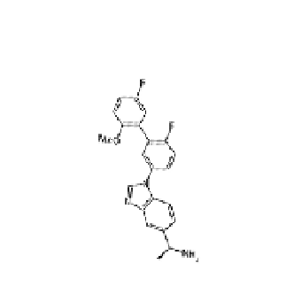 COc1ccc(F)cc1-c1cc(-n2cnc3cc([C@H](C)N)ccc32)ccc1F